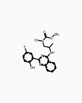 CCN(CC(C)Nc1nc(-c2cc(F)ccc2O)nc2ccccc12)C(=O)OC(C)(C)C